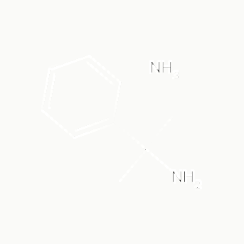 CC(C)(N)c1ccccc1.N